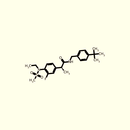 CCN(c1ccc([C@H](C)C(=O)NCc2ccc(C(C)(C)C)cc2)cc1F)S(C)(=O)=O